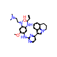 C=CC(O)Nc1cc(Nc2nccc(-c3cn4c5c(cccc35)CCC4)n2)c(OC)cc1N(C)CCN(C)C